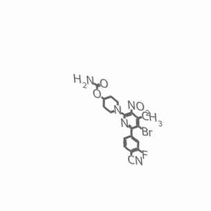 Cc1c(Br)c(-c2ccc(C#N)c(F)c2)nc(N2CCC(OC(N)=O)CC2)c1[N+](=O)[O-]